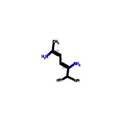 CCCC(CCC)/C(N)=C/C=C(/C)N